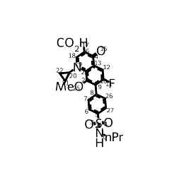 CCCNS(=O)(=O)c1ccc(-c2c(F)cc3c(=O)c(C(=O)O)cn(C4CC4)c3c2OC)cc1